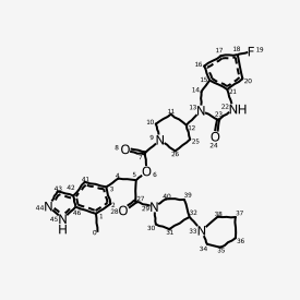 Cc1cc(CC(OC(=O)N2CCC(N3Cc4ccc(F)cc4NC3=O)CC2)C(=O)N2CCC(N3CCCCC3)CC2)cc2cn[nH]c12